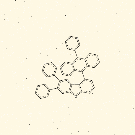 c1ccc(-c2cc3oc4cccc(-c5c6ccccc6c(-c6ccccc6)c6ccccc56)c4c3cc2-c2ccccc2)cc1